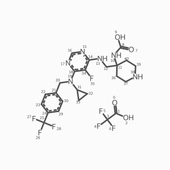 O=C(O)C(F)(F)F.O=C(O)NC1(CNc2ncnc(N(Cc3ccc(C(F)(F)F)cc3)C3CC3)c2F)CCNCC1